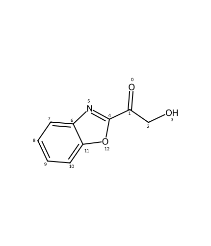 O=C(CO)c1nc2ccccc2o1